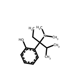 CCC(c1ccccc1O)(C(C)C)N(C)C